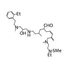 C=C(/C=C\CC(C=O)CC(C)CCNCC(O)CN(C)CCc1ccccc1CC)CN(C)CCN(CC)SC